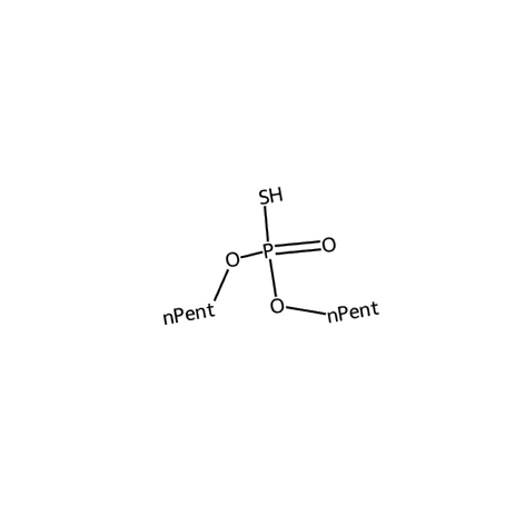 CCCCCOP(=O)(S)OCCCCC